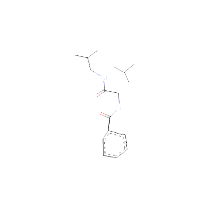 CC(C)CNC(=O)[C@H](CC(C)C)NC(=O)c1ccccc1